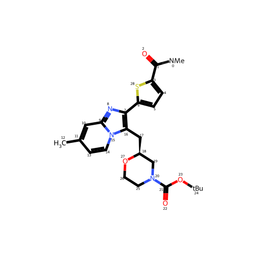 CNC(=O)c1ccc(-c2nc3cc(C)ccn3c2C[C@H]2CN(C(=O)OC(C)(C)C)CCO2)s1